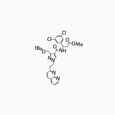 COC(=O)CC(NC(=O)c1cn(CCc2ccc3cccnc3n2)nc1COC(C)(C)C)c1cc(Cl)cc(Cl)c1